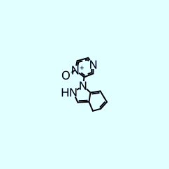 [O-][n+]1ccncc1N1NC=C2CC=CC=C21